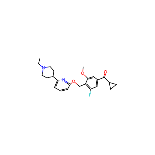 CCN1CCC(c2cccc(OCc3c(F)cc(C(=O)C4CC4)cc3OC)n2)CC1